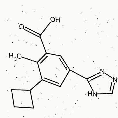 Cc1c(C(=O)O)cc(-c2nnc[nH]2)cc1C1CCC1